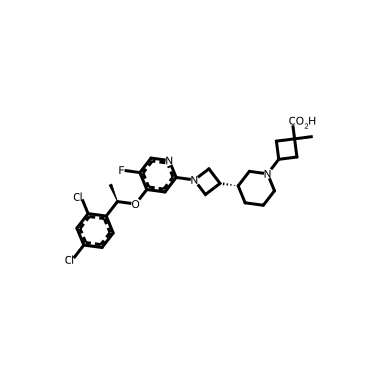 C[C@@H](Oc1cc(N2CC([C@H]3CCCN(C4CC(C)(C(=O)O)C4)C3)C2)ncc1F)c1ccc(Cl)cc1Cl